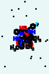 CCC(C)C(C(=O)NC(Cc1ccccc1)C(O)CN(Cc1ccc(F)cc1)NC(=O)CC(C)(C)CNC(=O)OC)C1CNC(=O)N1Cc1cccc(C)n1